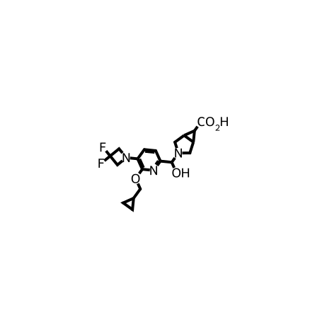 O=C(O)C1C2CN(C(O)c3ccc(N4CC(F)(F)C4)c(OCC4CC4)n3)CC21